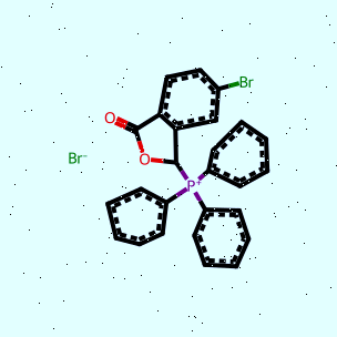 O=C1OC([P+](c2ccccc2)(c2ccccc2)c2ccccc2)c2cc(Br)ccc21.[Br-]